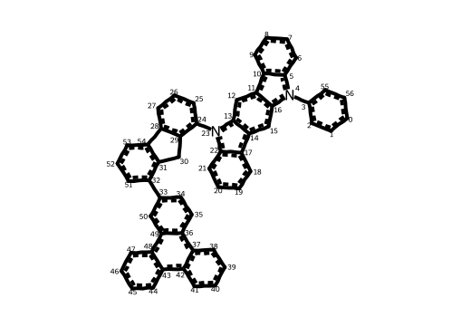 c1ccc(-n2c3ccccc3c3cc4c(cc32)c2ccccc2n4-c2cccc3c2Cc2c(-c4ccc5c6ccccc6c6ccccc6c5c4)cccc2-3)cc1